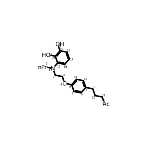 CCCN(CCOc1ccc(CCCC(C)=O)cc1)c1cccc(O)c1O